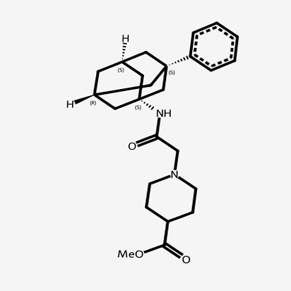 COC(=O)C1CCN(CC(=O)N[C@@]23C[C@H]4C[C@@H](C2)C[C@@](c2ccccc2)(C4)C3)CC1